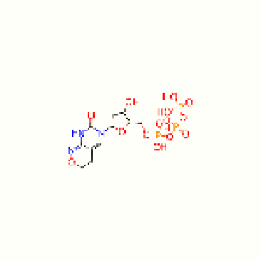 O=C1NC2=NOCCC2=CN1C1CC(O)C(COP(=O)(O)OP(=O)(O)OP(=O)(O)O)O1